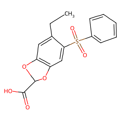 CCc1cc2c(cc1S(=O)(=O)c1ccccc1)OC(C(=O)O)O2